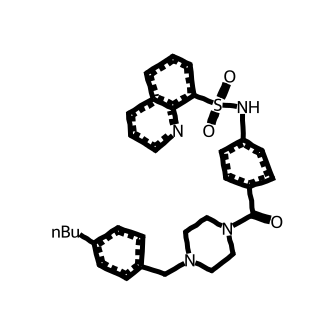 CCCCc1ccc(CN2CCN(C(=O)c3ccc(NS(=O)(=O)c4cccc5cccnc45)cc3)CC2)cc1